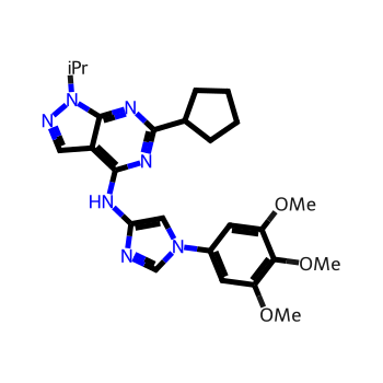 COc1cc(-n2cnc(Nc3nc(C4CCCC4)nc4c3cnn4C(C)C)c2)cc(OC)c1OC